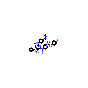 NC1CCC(Nc2nc(NC3CCN(C(=O)Oc4ccc(F)cc4)CC3)c3ncn(C4CCCC4)c3n2)CC1